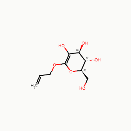 C=CCOC1=C(O)[C@@H](O)[C@H](O)[C@@H](CO)O1